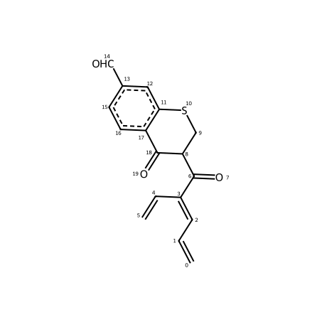 C=C/C=C(\C=C)C(=O)C1CSc2cc(C=O)ccc2C1=O